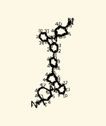 CC1(C#N)C=CC(n2c3ccccc3c3cc(-c4ccc(-c5ccc6c(c5)c5ccccc5n6-c5ccc(C#N)cc5)cc4)ccc32)C=CC1